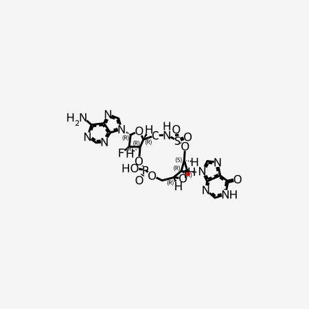 Nc1ncnc2c1ncn2[C@@H]1O[C@@H]2CNS(=O)(=O)O[C@@H]3[C@H](F)[C@@H](COP(=O)(O)O[C@H]2[C@H]1F)O[C@H]3n1cnc2c(=O)[nH]cnc21